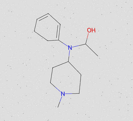 CC(O)N(C1=CC=CCC1)C1CCN(C)CC1